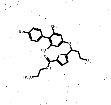 CCc1ccc(-c2c(C)cc(OC(CCC(F)(F)F)c3ccc(C(=O)NCCC(=O)O)s3)cc2C)cc1